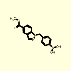 COC(=O)c1ccc2c(cnn2Cc2ccc(B(O)O)cc2)c1